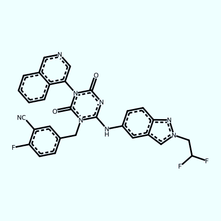 N#Cc1cc(Cn2c(Nc3ccc4nn(CC(F)F)cc4c3)nc(=O)n(-c3cncc4ccccc34)c2=O)ccc1F